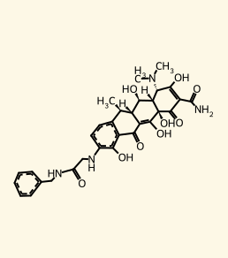 C[C@@H]1c2ccc(NCC(=O)NCc3ccccc3)c(O)c2C(=O)C2=C(O)[C@@]3(O)C(=O)C(C(N)=O)=C(O)[C@@H](N(C)C)[C@H]3[C@H](O)[C@H]21